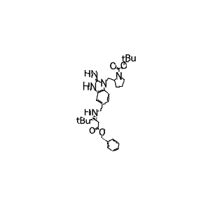 CC(C)(C)OC(=O)N1CCCC1Cn1c(=N)[nH]c2cc(CN[C@@H](CC(=O)OCc3ccccc3)C(C)(C)C)ccc21